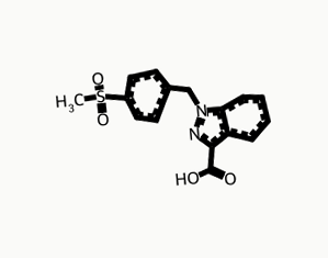 CS(=O)(=O)c1ccc(Cn2nc(C(=O)O)c3ccccc32)cc1